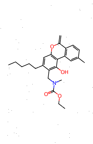 C=C1Oc2cc(CCCCC)c(CN(C)C(=O)OCC)c(O)c2-c2cc(C)ccc21